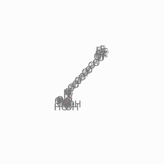 O=C(CCOCCOCCOCCOCCOCCOCCOCCOCCn1cc(CCO[C@H]2O[C@H](CCP(=O)(O)O)[C@@H](O)[C@H](O)[C@@H]2O)nn1)Oc1c(F)c(F)c(F)c(F)c1F